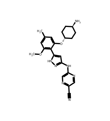 COc1cc(C)cc(O[C@H]2CC[C@H](N)CC2)c1-c1cc(Nc2cnc(C#N)cn2)n[nH]1